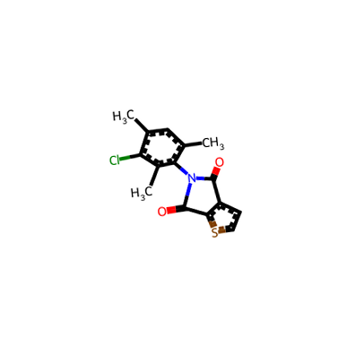 Cc1cc(C)c(N2C(=O)c3ccsc3C2=O)c(C)c1Cl